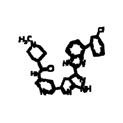 CN1CCC(C(=O)Nc2cncc(C3=CN=C4NN=C(c5nc6c(-c7cccc(Cl)c7)cccc6[nH]5)C4C3)c2)CC1